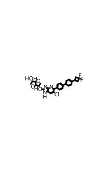 O[C@@H]1CO[C@H]2[C@@H]1OC[C@H]2Oc1nc2nc(-c3ccc(-c4ccc(C5CC(F)(F)C5)cc4)cc3)c(Cl)cc2[nH]1